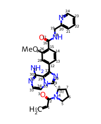 C=CC(=O)N1CCC[C@H]1c1nc(-c2ccc(C(=O)NCc3ccccn3)c(OC)c2)c2c(N)nccn12